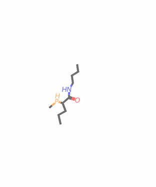 CCCCNC(=O)C(CCC)PC